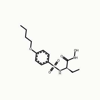 CCCCOc1ccc(S(=O)(=O)N[C@H](CC)C(=O)NO)cc1